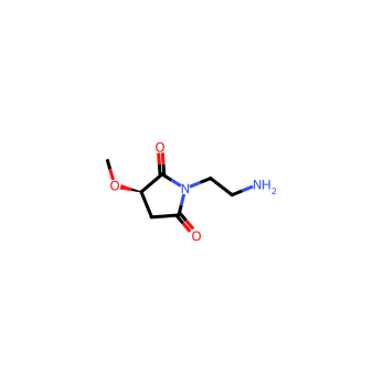 CO[C@@H]1CC(=O)N(CCN)C1=O